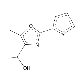 C[C](O)c1nc(-c2cccs2)oc1C